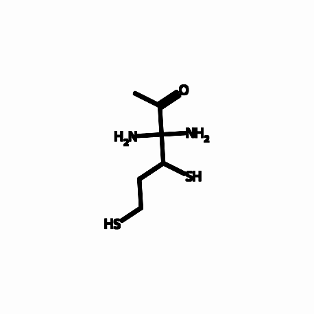 CC(=O)C(N)(N)C(S)CCS